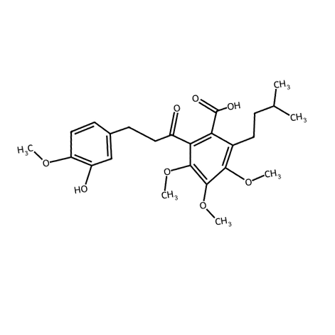 COc1ccc(CCC(=O)c2c(OC)c(OC)c(OC)c(CCC(C)C)c2C(=O)O)cc1O